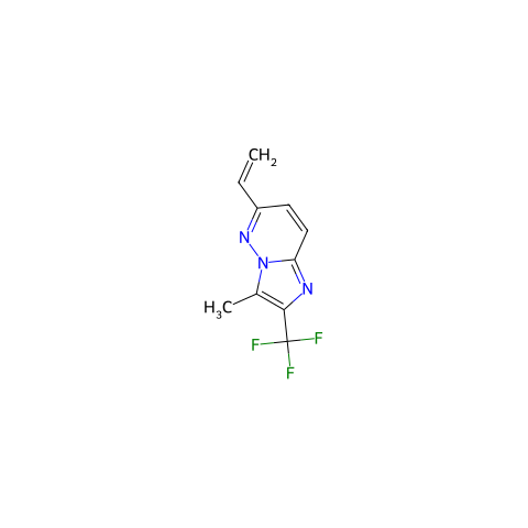 C=Cc1ccc2nc(C(F)(F)F)c(C)n2n1